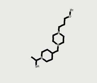 CC(C)OCCCN1CCN(CC2CCN(C(C)S)CC2)CC1